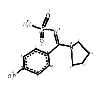 CS(=O)(=O)/N=C(\c1ccc([N+](=O)[O-])cc1)N1CCCC1